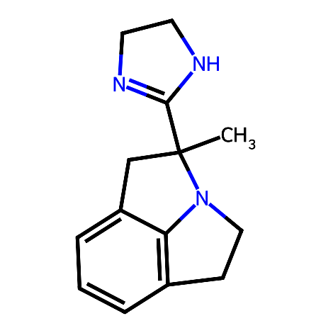 CC1(C2=NCCN2)Cc2cccc3c2N1CC3